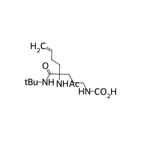 C=CCCC(CCCNC(=O)O)(NC(C)=O)C(=O)NC(C)(C)C